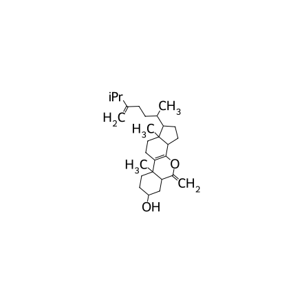 C=C(CCC(C)C1CCC2C3=C(CCC21C)C1(C)CCC(O)CC1C(=C)O3)C(C)C